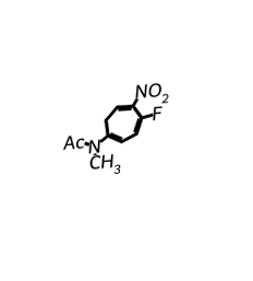 CC(=O)N(C)C1=CC=C(F)C([N+](=O)[O-])=CC1